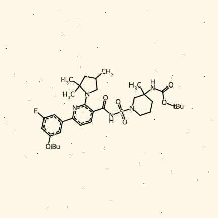 CC(C)COc1cc(F)cc(-c2ccc(C(=O)NS(=O)(=O)N3CCCC(C)(NC(=O)OC(C)(C)C)C3)c(N3CC(C)CC3(C)C)n2)c1